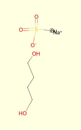 CCC(C)S(=O)(=O)[O-].OCCCCO.[Na+]